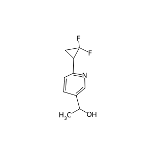 CC(O)c1ccc(C2CC2(F)F)nc1